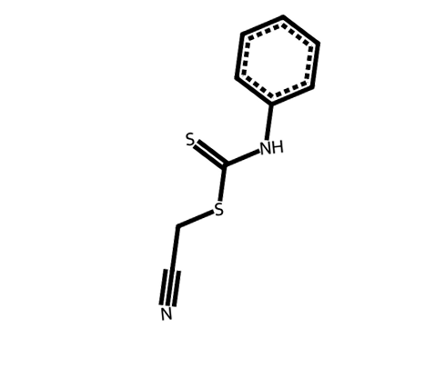 N#CCSC(=S)Nc1ccccc1